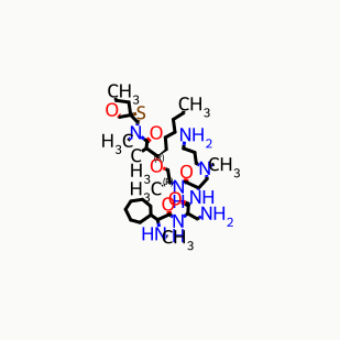 CCCCCC[C@@H](OC[C@@H](C)NC(=O)C(CN(C)CCCN)NC(=O)C(CN)NC(=O)C(NC)C1CCCCCC1)C(C)C(=O)N(C)C1SC1(C=O)CCC